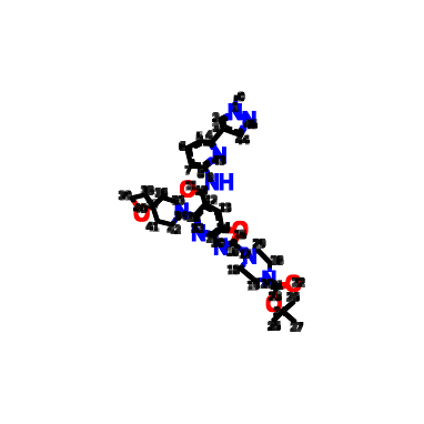 Cn1cc(-c2cccc(NC(=O)c3cc4oc(N5CCN(C(=O)OC(C)(C)C)CC5)nc4nc3N3CCC4(CCO4)CC3)n2)cn1